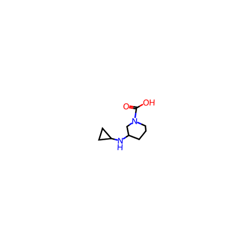 O=C(O)N1CCCC(NC2CC2)C1